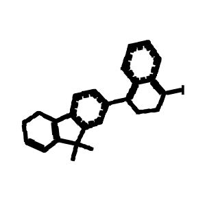 CC1(C)C2=C(CCC=C2)c2ccc(C3=c4ccccc4=C(I)CC3)cc21